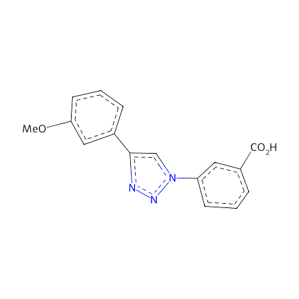 COc1cccc(-c2cn(-c3cccc(C(=O)O)c3)nn2)c1